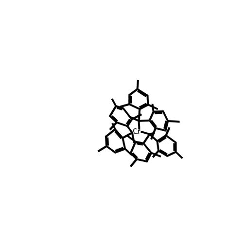 Cc1cc(C)c([C](C)(c2c(C)cc(C)cc2C)[Cr]([C](C)(c2c(C)cc(C)cc2C)c2c(C)cc(C)cc2C)[C](C)(c2c(C)cc(C)cc2C)c2c(C)cc(C)cc2C)c(C)c1